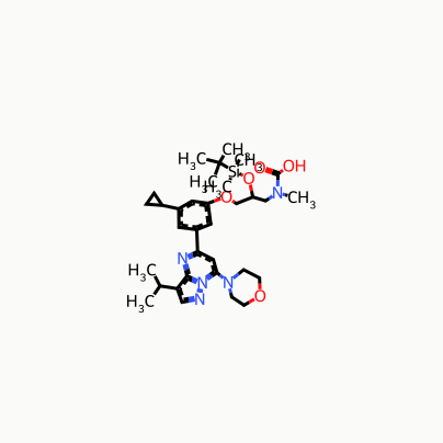 CC(C)c1cnn2c(N3CCOCC3)cc(-c3cc(OCC(CN(C)C(=O)O)O[Si](C)(C)C(C)(C)C)cc(C4CC4)c3)nc12